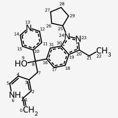 C=C/C=C(\C=C/N)CC(O)(c1ccncc1)c1ccc2c(CC)nn(C3CCCC3)c2c1